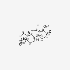 COC1=C2C(C)C[C@@H]3[C@H](CC[C@]4(C)C(=O)CC[C@@H]34)[C@@]2(C)CCC1=O